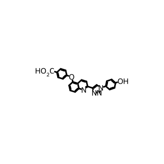 O=C(O)c1ccc(Oc2cccc3nc(-c4cn(-c5ccc(O)cc5)nn4)ccc23)cc1